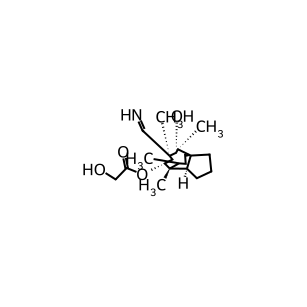 CC1CC[C@@]23CCC[C@H]2[C@]1(C)[C@H](OC(=O)CO)C[C@@](C)(C=N)[C@@H](O)[C@@H]3C